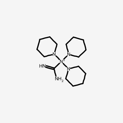 N=C(N)[N+](N1CCCCC1)(N1CCCCC1)N1CCCCC1